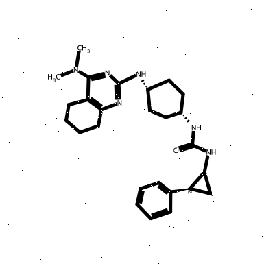 CN(C)c1nc(N[C@H]2CC[C@@H](NC(=O)NC3C[C@H]3c3ccccc3)CC2)nc2c1CCCC2